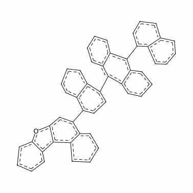 c1ccc2c(-c3c4ccccc4c(-c4ccc(-c5cc6oc7ccccc7c6c6ccccc56)c5ccccc45)c4ccccc34)cccc2c1